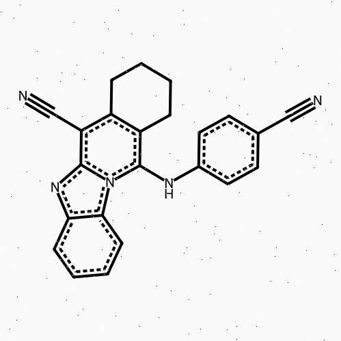 N#Cc1ccc(Nc2c3c(c(C#N)c4nc5ccccc5n24)CCCC3)cc1